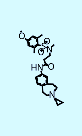 COc1cc(C)c(S(=O)(=O)N(C)CCC(=O)Nc2ccc3c(c2)CCN(C2CC2)CC3)c(C)c1